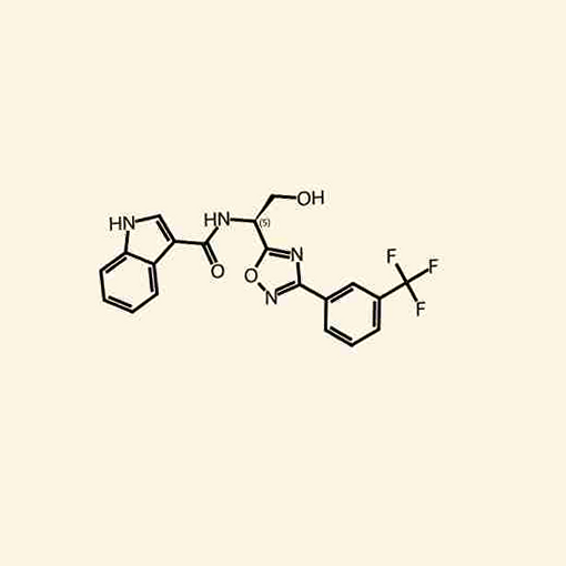 O=C(N[C@@H](CO)c1nc(-c2cccc(C(F)(F)F)c2)no1)c1c[nH]c2ccccc12